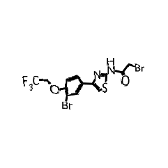 O=C(CBr)Nc1nc(-c2ccc(OCC(F)(F)F)c(Br)c2)cs1